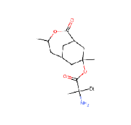 CCC(C)(N)C(=O)OC1(C)CC2CC(C)OC(=O)C(C2)C1